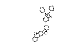 c1ccc(-c2nc3cc(-c4ccc5oc6cc7c(cc6c5c4)oc4ccccc47)ccc3n2-c2ccccc2)cc1